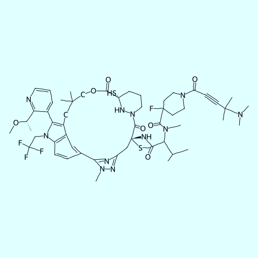 CO[C@@H](C)c1ncccc1-c1c2c3cc(ccc3n1CC(F)(F)F)-c1nc(nn1C)C[C@@](NC(=O)C(C(C)C)N(C)C(=O)C1(F)CCN(C(=O)C#CC(C)(C)N(C)C)CC1)(SC)C(=O)N1CCC[C@@](S)(N1)C(=O)OCC(C)(C)C2